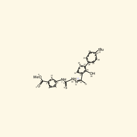 COC(=O)c1ccc(NC(=S)N/N=C(/C)c2csc(-c3ccc(C(C)(C)C)cc3)c2O)s1